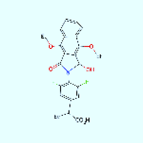 CCOc1c2c(c(OCC)c3ccccc13)C(O)N(c1c(F)cc(C(CC)C(=O)O)cc1F)C2=O